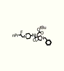 CCCC(F)CN1CCC(NC(=O)[C@@]2(CC(=O)OC(C)(C)C)CN(Cc3ccccc3)C[C@H]2C)CC1